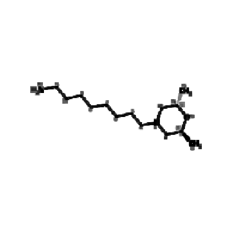 C[C@H]1CN(CCCCCCCCN)C[C@H](C)O1